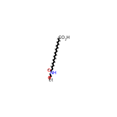 CCOCCNC(=O)CCCCCCCCCCCCCCCCCCC(=O)O